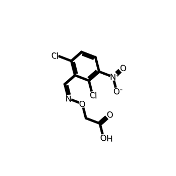 O=C(O)CO/N=C\c1c(Cl)ccc([N+](=O)[O-])c1Cl